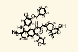 CC(C)(C)C1C/C(=C\C(=O)Nc2cc3c(Nc4ccc(OCc5ccccn5)c(Cl)c4)c(C#N)cnc3cc2OC2CCOC2)CCN1C(=O)O